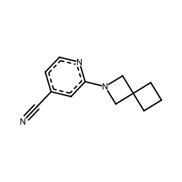 N#Cc1ccnc(N2CC3(CCC3)C2)c1